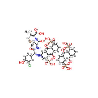 CC1=C(C(=O)O)N2C(=O)C(NC(=O)C(N)c3ccc(O)c(Cl)c3)[C@@H]2SC1.O=C1c2cccc(S(=O)(=O)O)c2C(=O)c2cccc(S(=O)(=O)O)c21.O=C1c2cccc(S(=O)(=O)O)c2C(=O)c2cccc(S(=O)(=O)O)c21